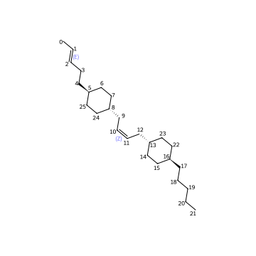 C/C=C/CC[C@H]1CC[C@H](C/C=C\C[C@H]2CC[C@H](CCCCC)CC2)CC1